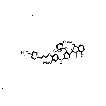 COc1ccccc1Oc1nc(Nc2cc(OC)c(OCCCN3CCN(C)CC3)c(OC)c2)ncc1C(=O)Nc1c(Cl)cccc1Cl